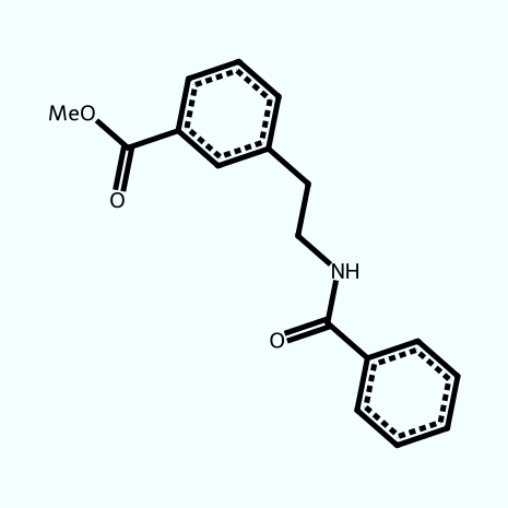 COC(=O)c1cccc(CCNC(=O)c2ccccc2)c1